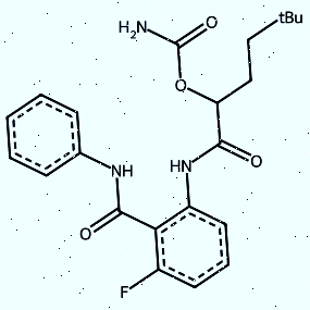 CC(C)(C)CCC(OC(N)=O)C(=O)Nc1cccc(F)c1C(=O)Nc1ccccc1